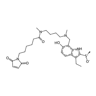 CCc1c([S@@+](C)[O-])[nH]c2c(CN(C)CCCCN(C)C(=O)CCCCCN3C(=O)C=CC3=O)c(O)ccc12